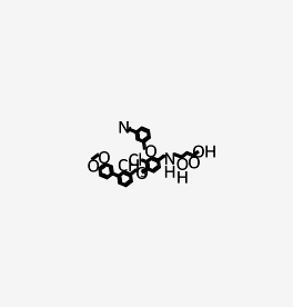 Cc1c(COc2ccc(CNC[C@@H](O)CC(=O)O)c(OCc3cccc(C#N)c3)c2Cl)cccc1-c1ccc2c(c1)OCCO2